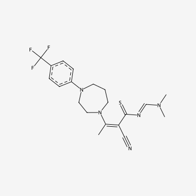 C/C(=C(\C#N)C(=S)/N=C/N(C)C)N1CCCN(c2ccc(C(F)(F)F)cc2)CC1